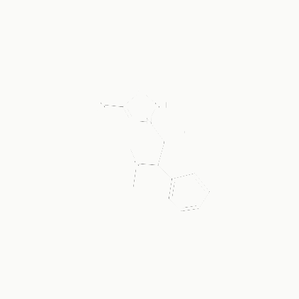 CN(C)C(CN1[C+]=C(N)ON1)c1ccccc1.[Cl-]